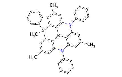 Cc1cc2c3c(c1)N(c1ccccc1)c1cc(C)cc4c1B3c1c(cc(C)cc1C4(C)c1ccccc1)N2c1ccccc1